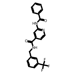 O=C(NCc1cccc(C(F)(F)F)c1)c1ccnc(NC(=O)c2ccccc2)c1